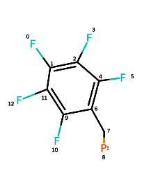 Fc1c(F)c(F)c(C[P])c(F)c1F